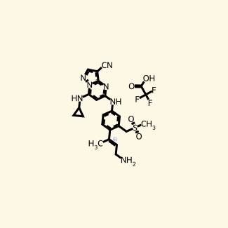 C/C(=C\CN)c1ccc(Nc2cc(NC3CC3)n3ncc(C#N)c3n2)cc1CS(C)(=O)=O.O=C(O)C(F)(F)F